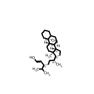 CC(C)[C@H](C=CO)CC[C@@H](C)[C@H]1CC[C@H]2[C@@H]3CCC4CCCC[C@]4(C)[C@H]3CC[C@]12C